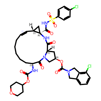 O=C(N[C@H]1CCCCC/C=C\[C@@H]2C[C@@]2(C(=O)NS(=O)(=O)c2ccc(Cl)cc2)NC(=O)[C@@H]2C[C@@H](OC(=O)N3Cc4cccc(Cl)c4C3)CN2C1=O)OC1CCOCC1